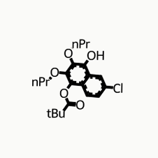 CCCOc1c(OCCC)c(OC(=O)C(C)(C)C)c2ccc(Cl)cc2c1O